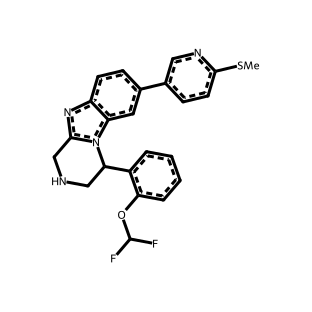 CSc1ccc(-c2ccc3nc4n(c3c2)C(c2ccccc2OC(F)F)CNC4)cn1